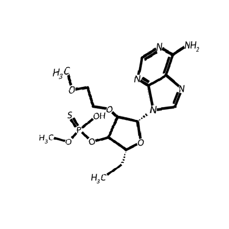 CC[C@H]1O[C@@H](n2cnc3c(N)ncnc32)C(OCCOC)C1OP(O)(=S)OC